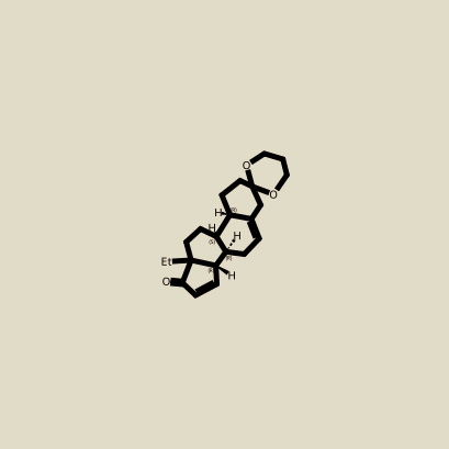 CCC12CC[C@H]3[C@@H](CC=C4CC5(CC[C@@H]43)OCCCO5)[C@@H]1C=CC2=O